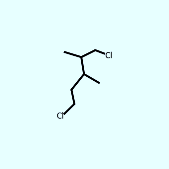 CC(CCl)C(C)CCCl